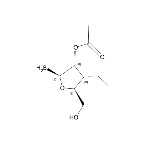 B[C@@H]1O[C@H](CO)[C@@H](CC)[C@H]1OC(C)=O